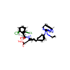 CCN(c1ccc(/C=C/CC(NC(=O)c2c(Cl)cccc2Cl)C(=O)O)cc1)c1ncccn1